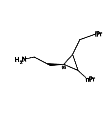 CCCC1C(CC(C)C)[C@@H]1CCN